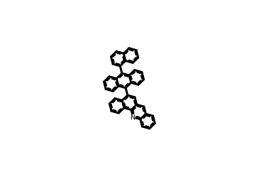 c1ccc2nc3c(cc(-c4c5ccccc5c(-c5cccc6ccccc56)c5ccccc45)c4ccccc43)cc2c1